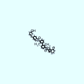 Cc1c(NC(=O)c2ccc(CN3CC[C@@H](O)C3)cn2)cccc1-c1cccc(NC(=O)c2cc3n(n2)CCCC3=O)c1C